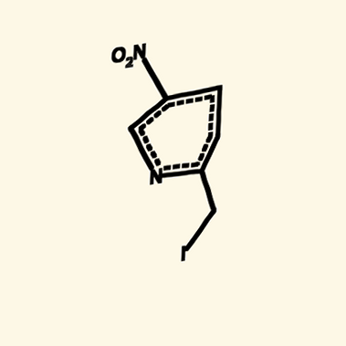 O=[N+]([O-])c1ccc(CI)nc1